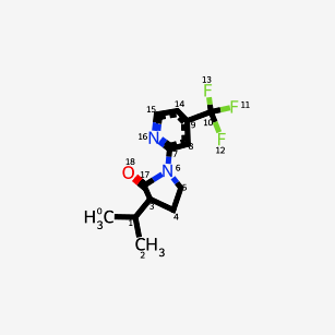 CC(C)C1CCN(c2cc(C(F)(F)F)ccn2)C1=O